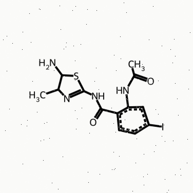 CC(=O)Nc1cc(I)ccc1C(=O)NC1=NC(C)C(N)S1